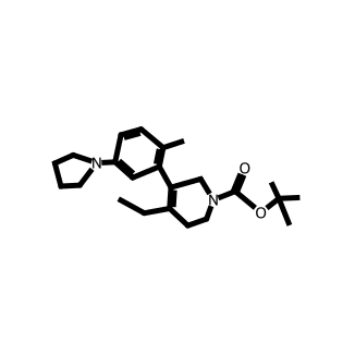 CCC1=C(c2cc(N3CCCC3)ccc2C)CN(C(=O)OC(C)(C)C)CC1